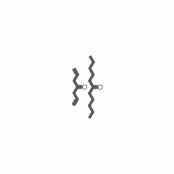 C=CCC(=O)CC=C.CCCCCC(=O)CCCCC